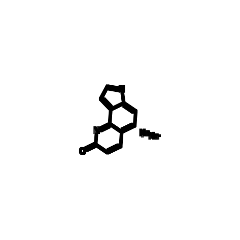 O=C1C=Cc2ccc3c(c2=N1)=CC=N3.[Na].[Na]